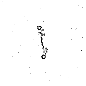 CS(=O)(=O)N(CCCCCCCNC(=O)Nc1ccncc1)OCc1ccccc1